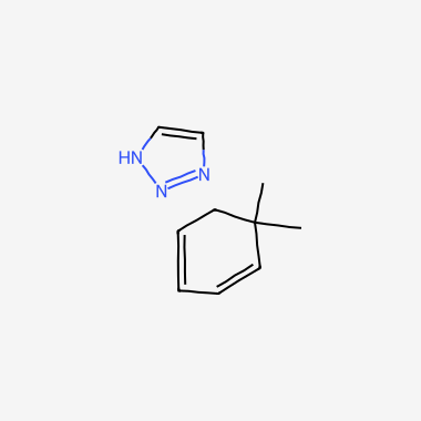 CC1(C)C=CC=CC1.c1c[nH]nn1